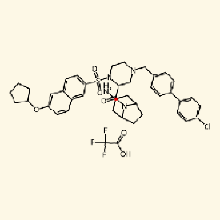 NC1CC2CCC(C1)N2C(=O)C1CN(Cc2ccc(-c3ccc(Cl)cc3)cc2)CCN1S(=O)(=O)c1ccc2cc(OC3CCCC3)ccc2c1.O=C(O)C(F)(F)F